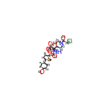 COc1ccc(-c2ccc(S(=O)(=O)N[C@@H](C(=O)O)C3CCN(C(=O)CCl)CC3)s2)cc1